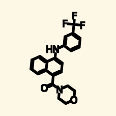 O=C(c1ccc(Nc2cccc(C(F)(F)F)c2)c2ccccc12)N1CCOCC1